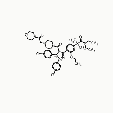 CCOc1cc(C(C)(C)C(=O)N(CC)CC)ccc1C1=N[C@@H](c2ccc(Cl)cc2)[C@@H](c2ccc(Cl)cc2)N1C(=O)N1CCN(CC(=O)N2CCOCC2)CC1